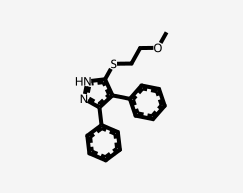 COCCSc1[nH]nc(-c2ccccc2)c1-c1ccccc1